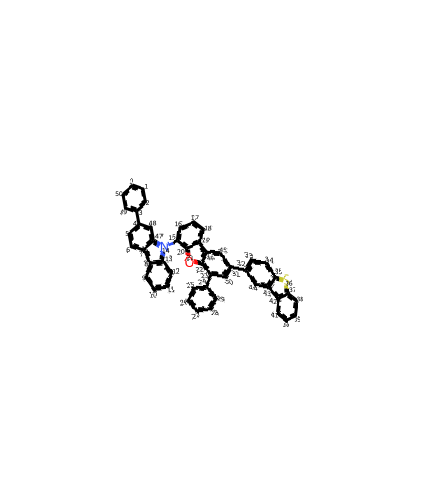 c1ccc(-c2ccc3c4ccccc4n(-c4cccc5c4oc4c(-c6ccccc6)cc(-c6ccc7sc8ccccc8c7c6)cc45)c3c2)cc1